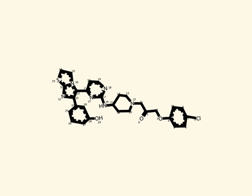 O=C(COc1ccc(Cl)cc1)CN1CCC(Nc2nccc(-c3c(-c4cccc(O)c4)nc4sccn34)n2)CC1